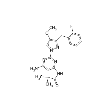 COc1cn(-c2nc(N)c3c(n2)NC(=O)C3(C)C)nc1Cc1ccccc1F